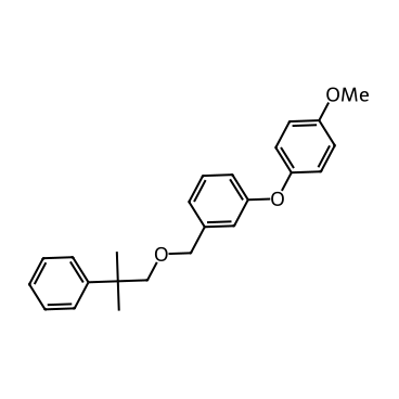 COc1ccc(Oc2cccc(COCC(C)(C)c3ccccc3)c2)cc1